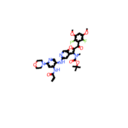 C=CC(=O)Nc1cc(N2CCOCC2)ncc1Nc1cc2c(N(C)C(=O)OC(C)(C)C)c(C(=O)c3c(F)c(OC)cc(OC)c3F)oc2cn1